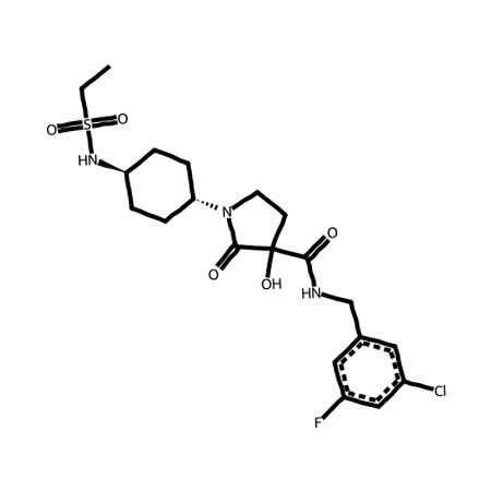 CCS(=O)(=O)N[C@H]1CC[C@H](N2CCC(O)(C(=O)NCc3cc(F)cc(Cl)c3)C2=O)CC1